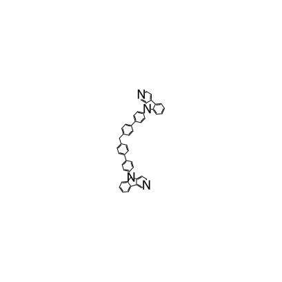 c1ccc2c(c1)c1cnccc1n2-c1ccc(-c2ccc(Cc3ccc(-c4ccc(-n5c6ccccc6c6ccncc65)cc4)cc3)cc2)cc1